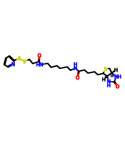 O=C(CCCCC1SC[C@@H]2NC(=O)N[C@H]12)NCCCCCCNC(=O)CCSSc1ccccn1